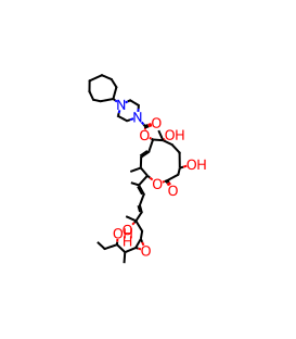 CCC(O)C(C)C1OC1CC(C)(O)/C=C/C=C(\C)C1OC(=O)CC(O)CCC(C)(O)C(OC(=O)N2CCN(C3CCCCCCC3)CC2)/C=C/C1C